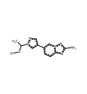 CCOC(C)n1cc(-c2ccc3nc(N)nn3c2)cn1